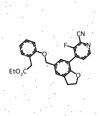 CCOC(=O)Cc1ccccc1OCc1cc2c(c(-c3ccnc(C#N)c3F)c1)OCC2